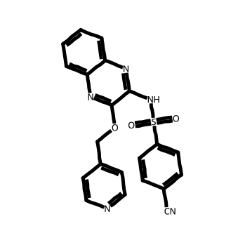 N#Cc1ccc(S(=O)(=O)Nc2nc3ccccc3nc2OCc2ccncc2)cc1